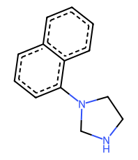 c1ccc2c(N3CCNC3)cccc2c1